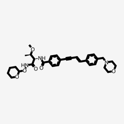 CO[C@H](C)[C@H](NC(=O)c1ccc(C#CC=Cc2ccc(CN3CCOCC3)cc2)cc1)C(=O)NOC1CCCCO1